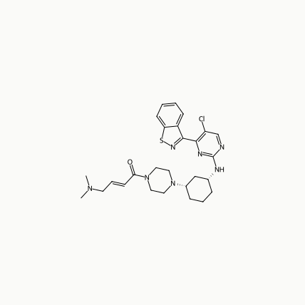 CN(C)C/C=C/C(=O)N1CCN([C@H]2CCC[C@@H](Nc3ncc(Cl)c(-c4nsc5ccccc45)n3)C2)CC1